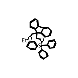 CCOCC1(CO[Si](c2ccccc2)(c2ccccc2)c2ccccc2)c2ccccc2-c2ccccc21